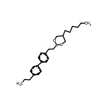 CCCCCCC1COB(CCc2ccc(-c3ccc(CCC)cc3)cc2)OC1